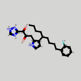 CCCCC(CCCCc1ccccc1F)c1cc[nH]c1CC(=O)C(=O)c1nc[nH]n1